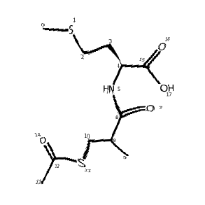 CSCC[C@H](NC(=O)C(C)CSC(C)=O)C(=O)O